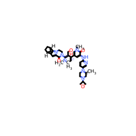 C=N/C(=C(CO)\C(=C/C)c1cc(Nc2ccc(N3CCN(C4COC4)C[C@@H]3C)cn2)c(=O)n(C)c1)N1CCn2c(cc3c2[C@@H]2CC[C@@H]3C2)C1=O